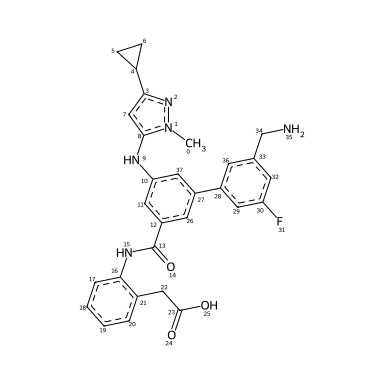 Cn1nc(C2CC2)cc1Nc1cc(C(=O)Nc2ccccc2CC(=O)O)cc(-c2cc(F)cc(CN)c2)c1